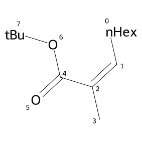 CCCCCCC=C(C)C(=O)OC(C)(C)C